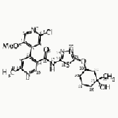 COc1cnc(Cl)cc1-c1cc(C)ncc1C(=O)Nc1nnc(O[C@@H]2CCC[C@@](C)(O)C2)s1